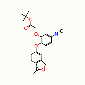 [C-]#[N+]c1ccc(Oc2ccc3c(c2)COB3C)c(OCC(=O)OC(C)(C)C)c1